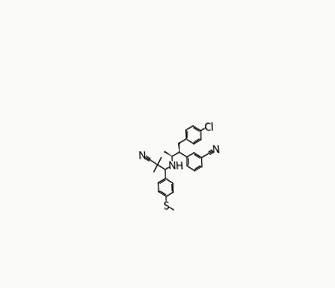 CSc1ccc(C(N[C@@H](C)[C@@H](Cc2ccc(Cl)cc2)c2cccc(C#N)c2)C(C)(C)C#N)cc1